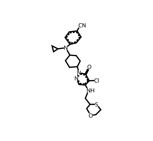 N#Cc1ccc(N(C2CC2)C2CCC(n3ncc(NCC4COCCS4)c(Cl)c3=O)CC2)cc1